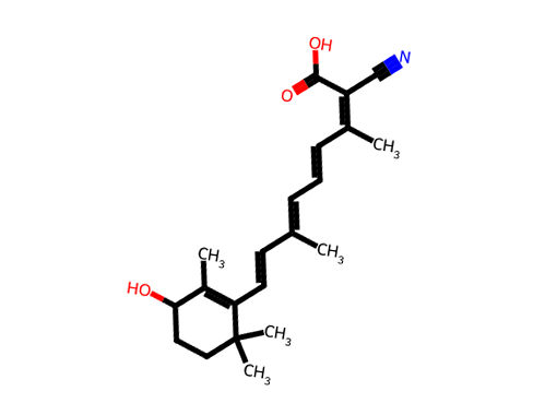 CC1=C(/C=C/C(C)=C/C=C/C(C)=C(/C#N)C(=O)O)C(C)(C)CCC1O